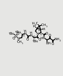 CCCC(NC(=O)[C@@H]1[C@@H]2[C@H](CN1C(=O)[C@@H](NC(=O)N[C@H](CN(C)S(=O)(=O)C(C)(C)C)C(C)(C)C)C(C)(C)C)C2(C)C)C(=O)C(N)=O